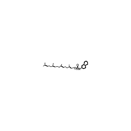 CC(C)=CCC/C(C)=C/CC/C(C)=C/CC/C(C)=C/COC(=O)Nc1ccc2ccccc2c1